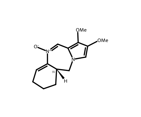 COc1cn2c(c1OC)C=[N+]([O-])C1=CCCC[C@H]1C2